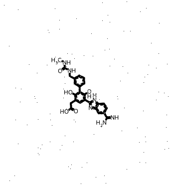 CNC(=O)NCc1cccc(-c2c(O)c(CC(=O)O)cc(-c3nc4cc(C(=N)N)ccc4[nH]3)c2O)c1